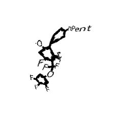 CCCCCc1ccc(-c2c([O])cc(F)c(C(F)(F)Oc3cc(F)c(F)c(F)c3)c2F)cc1